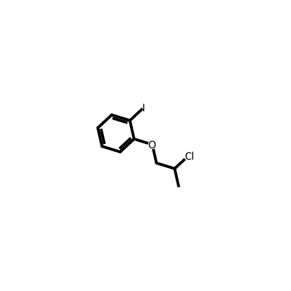 CC(Cl)COc1ccccc1I